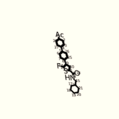 CC(=O)c1ccc(-c2ccc(-c3cc(C(=O)NCC4CCCCC4)sc3F)cc2)cc1